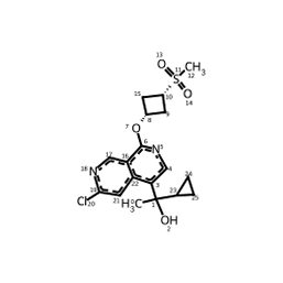 CC(O)(c1cnc(O[C@H]2C[C@@H](S(C)(=O)=O)C2)c2cnc(Cl)cc12)C1CC1